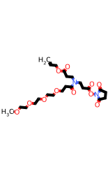 C=CCOC(=O)CCN(CCC(=O)ON1C(=O)CCC1=O)C(=O)CCOCCOCCOCCOC